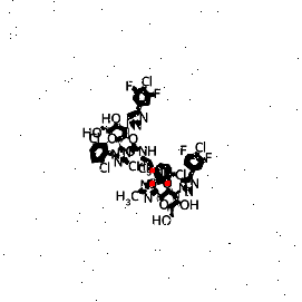 Cc1nc([C@@H]2O[C@H](CO)[C@H](O)[C@H](n3cc(-c4cc(F)c(Cl)c(F)c4)nn3)[C@H]2OC(=O)NCCCNC(=O)O[C@@H]2[C@@H](n3cc(-c4cc(F)c(Cl)c(F)c4)nn3)[C@@H](O)[C@@H](CO)O[C@H]2c2nc(C)nn2-c2cc(Cl)ccc2Cl)n(-c2cc(Cl)ccc2Cl)n1